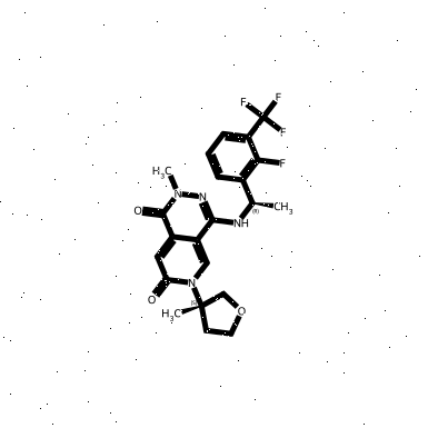 C[C@@H](Nc1nn(C)c(=O)c2cc(=O)n([C@@]3(C)CCOC3)cc12)c1cccc(C(F)(F)F)c1F